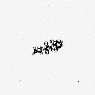 COc1ccccc1N(C=O)C(C)C(=O)C(=O)NCC1CC1